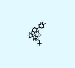 Cc1ccc(-c2ccc3c(n2)N(C(=O)NCC(C)(C)C)[C@H]2CCN3C2)cn1